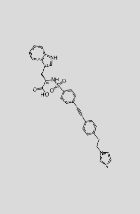 O=C(O)[C@@H](Cc1c[nH]c2ccccc12)NS(=O)(=O)c1ccc(C#Cc2ccc(CCn3ccnc3)cc2)cc1